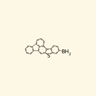 Bc1ccc2c(c1)sc1cc3c4c(cccc4c12)-c1ccccc1-3